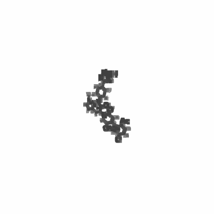 COc1cn(C(Cc2ccn(C)n2)C(=O)Nc2ccc(-c3nn[nH]n3)cc2)c(=O)cc1-c1cc(Cl)ccc1C(C)=O